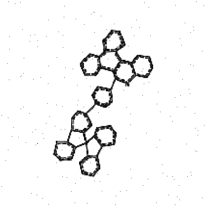 c1ccc2c(c1)-c1ccccc1C21c2ccccc2-c2ccc(-c3ccc(-c4nc5ccccc5c5c6ccccc6c6ccccc6c45)cc3)cc21